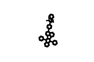 Cc1c(-c2ccc(-c3ccc4c5c(cccc35)-c3c-4c(-c4ccccc4)c4ccccc4c3-c3ccccc3)cc2)nc2ccccn12